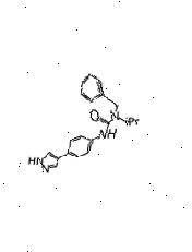 CC(C)N(Cc1ccccc1)C(=O)Nc1ccc(-c2cn[nH]c2)cc1